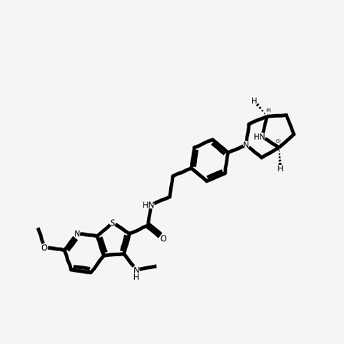 CNc1c(C(=O)NCCc2ccc(N3C[C@H]4CC[C@@H](C3)N4)cc2)sc2nc(OC)ccc12